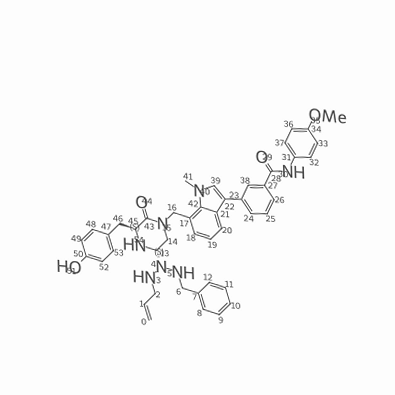 C=CCNN(NCc1ccccc1)[C@H]1CN(Cc2cccc3c(-c4cccc(C(=O)Nc5ccc(OC)cc5)c4)cn(C)c23)C(=O)[C@H](Cc2ccc(O)cc2)N1